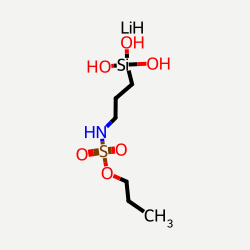 CCCOS(=O)(=O)NCCC[Si](O)(O)O.[LiH]